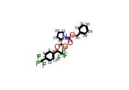 O=C(O[C@H](c1ccc(C(F)(F)F)cc1)C(F)(F)F)[C@@H]1CCCN1C(=O)OCc1ccccc1